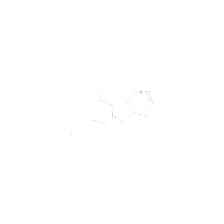 [CH2]CCN(CCC)Cc1ccccc1